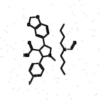 CCCCN(C=O)CCCC.CN1CC(c2ccc3c(c2)OCO3)C(C(=O)O)C1c1ccc(F)cc1